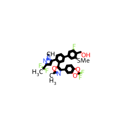 CSc1cc(-c2ccc(-c3cc(C(C)(F)F)nn3C)c(-c3oc(C)nc3-c3ccc4c(c3)OC(F)(F)O4)c2)cc(F)c1CO